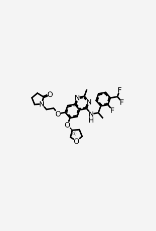 Cc1nc(NC(C)c2cccc(C(F)F)c2F)c2cc(O[C@H]3CCOC3)c(OCCN3CCCC3=O)cc2n1